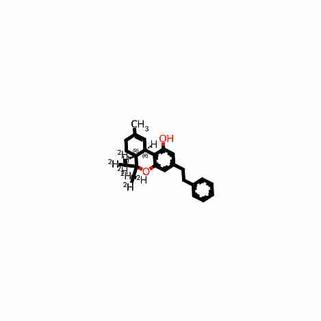 [2H]C([2H])([2H])C1(C([2H])([2H])[2H])Oc2cc(CCc3ccccc3)cc(O)c2[C@@H]2C=C(C)CC[C@H]21